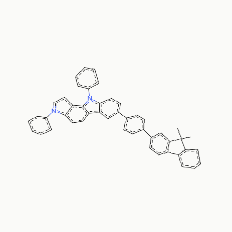 CC1(C)c2ccccc2-c2ccc(-c3ccc(-c4ccc5c(c4)c4ccc6c(ccn6-c6ccccc6)c4n5-c4ccccc4)cc3)cc21